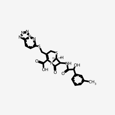 Cc1cccc(C(O)C(=O)NC2C(=O)N3C(C(=O)O)=C(CSc4ccc5nnnn5n4)CS[C@@H]23)c1